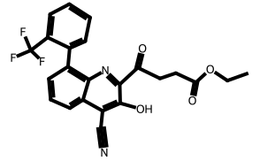 CCOC(=O)CCC(=O)c1nc2c(-c3ccccc3C(F)(F)F)cccc2c(C#N)c1O